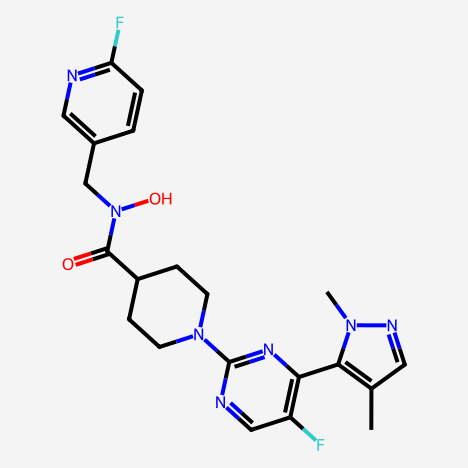 Cc1cnn(C)c1-c1nc(N2CCC(C(=O)N(O)Cc3ccc(F)nc3)CC2)ncc1F